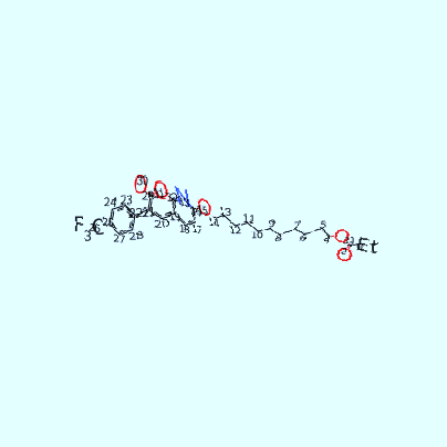 CCC(=O)OCCCCCCCCCCCOc1ccc2cc(-c3ccc(C(F)(F)F)cc3)c(=O)oc2n1